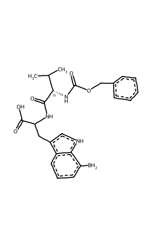 Bc1cccc2c(CC(NC(=O)[C@@H](NC(=O)OCc3ccccc3)C(C)C)C(=O)O)c[nH]c12